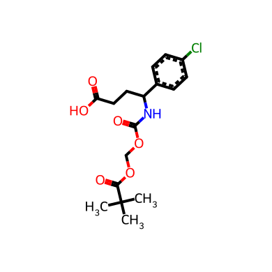 CC(C)(C)C(=O)OCOC(=O)NC(CCC(=O)O)c1ccc(Cl)cc1